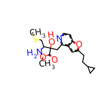 COC(=O)[C@@](O)(Cc1nccc2oc(CCC3CC3)cc12)C(N)CSC